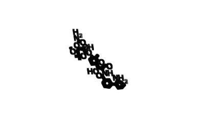 CO[C@@H]1[C@@H](OC(N)=O)[C@@H](O)[C@H](Oc2ccc3c(O)c(NC(=O)c4cccc(-c5ccccc5N)c4)c(=O)oc3c2C)OC1(C)C